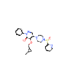 CC1CC1COc1c(N2CCN([S+]([O-])c3ccccn3)CC2)cnn(-c2ccccc2)c1=O